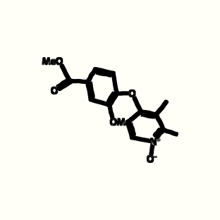 COC(=O)c1ccc(Oc2cc[n+]([O-])c(C)c2C)c(OC)c1